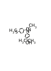 CSc1ccc(-c2cc(C)nn2-c2ccc(C(C)(C)O)cc2)cc1